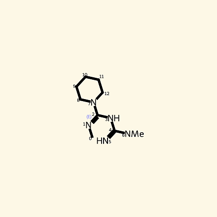 C/N=C(\NC(=N)NC)N1CCCCC1